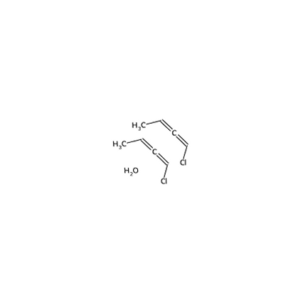 CC=C=CCl.CC=C=CCl.O